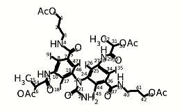 CC(=O)OCCCNC(=O)c1c(I)c(NC(=O)C(C)OC(C)=O)c(I)c(N(C(N)=O)c2c(I)c(NC(=O)C(C)OC(C)=O)c(I)c(C(=O)NCCCOC(C)=O)c2I)c1I